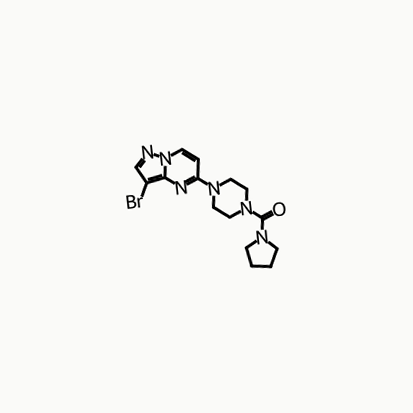 O=C(N1CCCC1)N1CCN(c2ccn3ncc(Br)c3n2)CC1